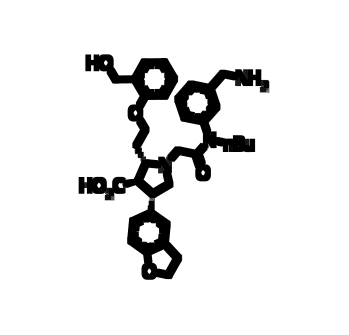 CCCCN(C(=O)CN1C[C@H](c2ccc3c(c2)CCO3)[C@@H](C(=O)O)[C@@H]1CCOc1ccccc1CO)c1cccc(CN)c1